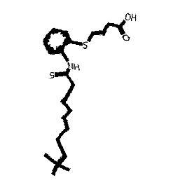 CC(C)(C)CCCCCCCC(=S)Nc1ccccc1SCCCC(=O)O